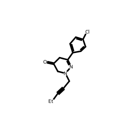 CCC#CCN1CC(=O)CC(c2ccc(Cl)cc2)=N1